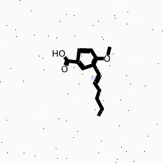 CCCC/C=C/c1cc(C(=O)O)ccc1OC